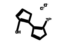 OC1=C(C2=[C]([Ti+2])CC=C2)CC=C1.[Cl-].[Cl-]